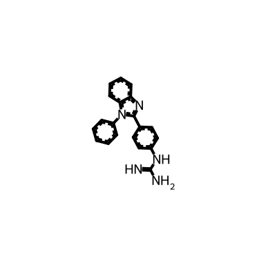 N=C(N)Nc1ccc(-c2nc3ccccc3n2-c2ccccc2)cc1